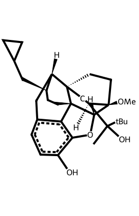 CO[C@]12CC[C@@]3(C[C@@H]1C(C)(O)C(C)(C)C)[C@H]1Cc4ccc(O)c5c4[C@@]3(CC[C@H]1CC1CC1)[C@H]2O5